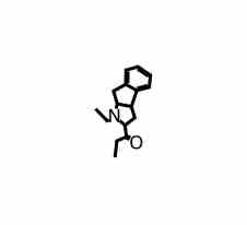 CCC(=O)C1CC2c3ccccc3CC2N1CC